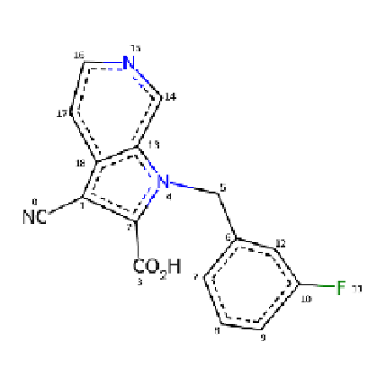 N#Cc1c(C(=O)O)n(Cc2cccc(F)c2)c2cnccc12